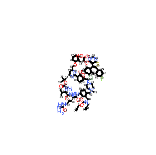 C#CCOC(=O)N(CC#C)Cc1cc(NC(=O)[C@H](CCCNC(N)=O)NC(=O)[C@@H](NC(=O)OC(C)(C)C)C(C)C)ccc1C[N+]1(C)CCN(CCOc2ccc(-c3c(-c4ccc(F)cc4)sc4ncnc(O[C@H](Cc5ccccc5OCc5ccnc(-c6ccccc6OC)n5)C(=O)O)c34)c(C)c2Cl)CC1